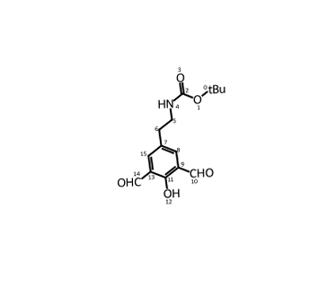 CC(C)(C)OC(=O)NCCc1cc(C=O)c(O)c(C=O)c1